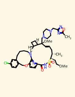 COCC[C@@H]1[C@@H](C)C/C=C/[C@](CN2CCN(Cc3noc(C)n3)CC2)(OC)[C@@H]2CC[C@H]2CN2CCCCc3cc(Cl)ccc3COc3ccc(nc32)C(=O)NS1(=O)=O